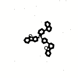 c1cc(-c2cccc3ccccc23)cc(N(c2ccc(-c3cccc4c3oc3ccccc34)cc2)c2ccc3c(c2)oc2ccccc23)c1